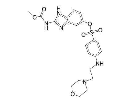 COC(=O)Nc1nc2cc(OS(=O)(=O)c3ccc(NCCN4CCOCC4)cc3)ccc2[nH]1